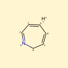 C1=CC=NCC=C1.[H+]